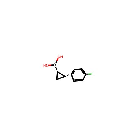 OB(O)[C@@H]1C[C@H]1c1ccc(F)cc1